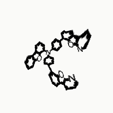 c1ccc2c(c1)oc1c(N(c3ccc(-c4cccc5c4oc4ncccc45)cc3)c3ccc(-c4cccc5c4oc4ncccc45)cc3)cccc12